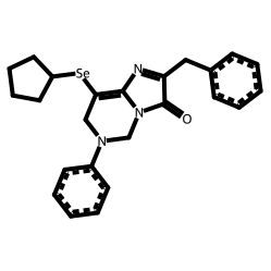 O=C1C(Cc2ccccc2)=NC2=C([Se]C3CCCC3)CN(c3ccccc3)CN12